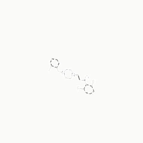 Cc1ccccc1CN1CCN(C=CC(=O)c2c(F)cccc2F)CC1